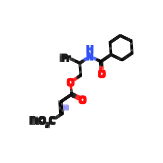 CCOC(=O)/C=C/C(=O)OCC(NC(=O)C1CCCCC1)C(C)C